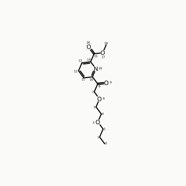 CCCOCCOCC(=O)c1cccc(C(=O)OC)n1